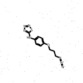 [N-]=[N+]=NCCCOc1ccc(Nc2nnns2)cc1